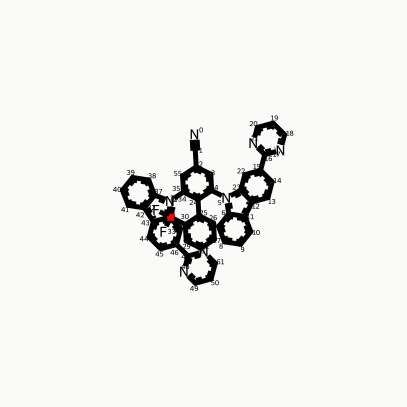 N#Cc1cc(-n2c3ccccc3c3ccc(-c4ncccn4)cc32)c(-c2ccccc2C(F)(F)F)c(-n2c3ccccc3c3ccc(-c4ncccn4)cc32)c1